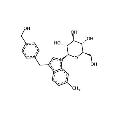 Cc1ccc2c(Cc3ccc(CO)cc3)cn([C@@H]3O[C@H](CO)[C@@H](O)[C@H](O)[C@H]3O)c2c1